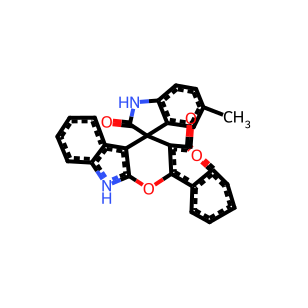 Cc1ccc2c(c1)C1(C(=O)N2)c2c(c3ccccc3oc2=O)Oc2[nH]c3ccccc3c21